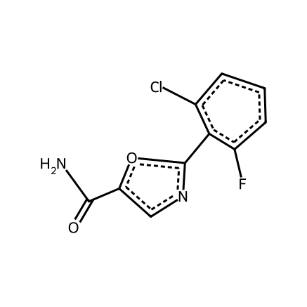 NC(=O)c1cnc(-c2c(F)cccc2Cl)o1